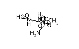 CC(C)C(=O)[C@H](CCCCN)NC(=O)[C@@H](N)CCCCNC(=O)CO